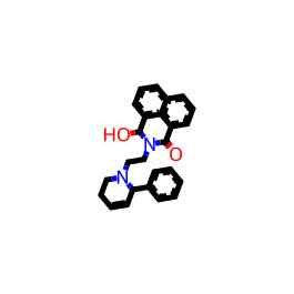 O=C1c2cccc3cccc(c23)C(O)N1CCN1CCC=CC1c1ccccc1